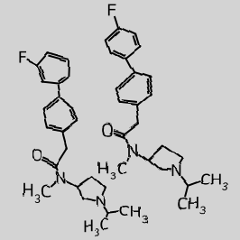 CC(C)N1CCC(N(C)C(=O)Cc2ccc(-c3ccc(F)cc3)cc2)C1.CC(C)N1CCC(N(C)C(=O)Cc2ccc(-c3cccc(F)c3)cc2)C1